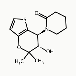 CC1(C)Oc2ccsc2[C@@H](N2CCCCC2=O)[C@@H]1O